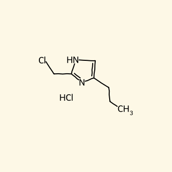 CCCc1c[nH]c(CCl)n1.Cl